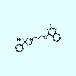 Cc1nc(OCCCN2CCC(O)(c3ccccc3)C2)c2ccccc2n1